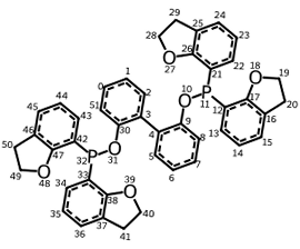 c1ccc(-c2ccccc2OP(c2cccc3c2OCC3)c2cccc3c2OCC3)c(OP(c2cccc3c2OCC3)c2cccc3c2OCC3)c1